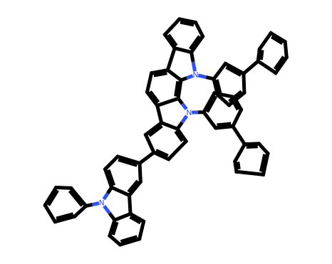 c1ccc(-c2cccc(-n3c4ccccc4c4ccc5c6cc(-c7ccc8c(c7)c7ccccc7n8-c7ccccc7)ccc6n(-c6cccc(-c7ccccc7)c6)c5c43)c2)cc1